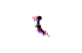 CC(=O)NCC1CN(c2ccc(OCCCNc3ccccc3O)c(F)c2)C(=O)O1